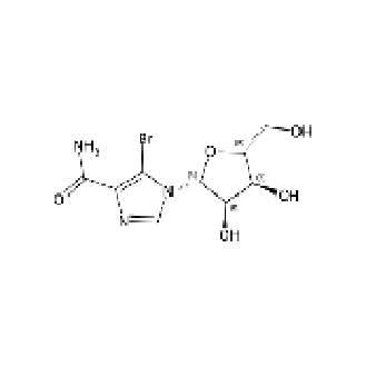 NC(=O)c1ncn([C@@H]2O[C@H](CO)[C@@H](O)[C@H]2O)c1Br